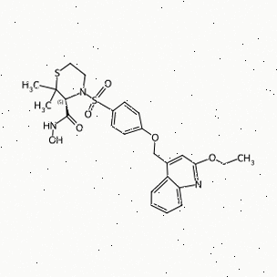 CCOc1cc(COc2ccc(S(=O)(=O)N3CCSC(C)(C)[C@@H]3C(=O)NO)cc2)c2ccccc2n1